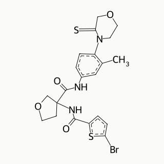 Cc1cc(NC(=O)C2(NC(=O)c3ccc(Br)s3)CCOC2)ccc1N1CCOCC1=S